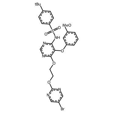 COc1cccc(Oc2c(NS(=O)(=O)c3ccc(C(C)(C)C)cc3)ncnc2OCCOc2ncc(Br)cn2)c1